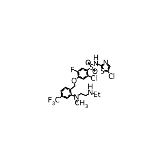 CCNCCN(C)c1cc(C(F)(F)F)ccc1COc1cc(Cl)c(S(=O)(=O)Nc2ncc(Cl)s2)cc1F